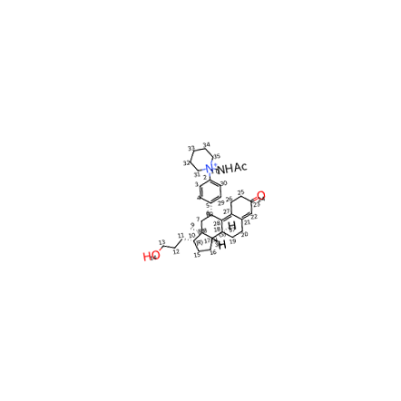 CC(=O)N[N+]1(c2ccc([C@H]3C[C@]4(C)[C@@H](CCCO)CC[C@H]4[C@@H]4CCC5=CC(=O)CCC5=C43)cc2)CCCCC1